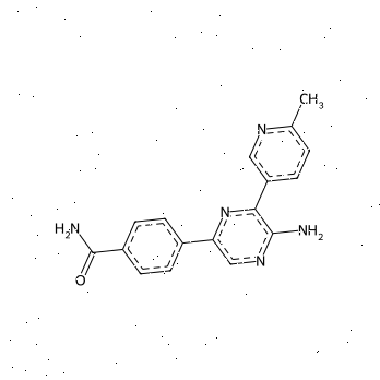 Cc1ccc(-c2nc(-c3ccc(C(N)=O)cc3)cnc2N)cn1